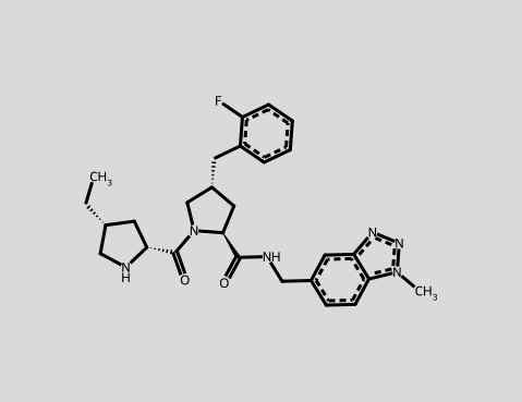 CC[C@H]1CN[C@@H](C(=O)N2C[C@H](Cc3ccccc3F)C[C@H]2C(=O)NCc2ccc3c(c2)nnn3C)C1